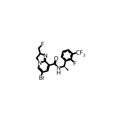 C[C@@H](NC(=O)C1=CC(Br)=CN2CC(CF)N=C12)c1cccc(C(F)(F)F)c1F